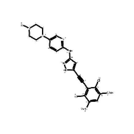 CCN1CCN(c2ccc(Nc3cc(C#Cc4c(Cl)c(OC)cc(OC)c4Cl)[nH]n3)nc2)CC1